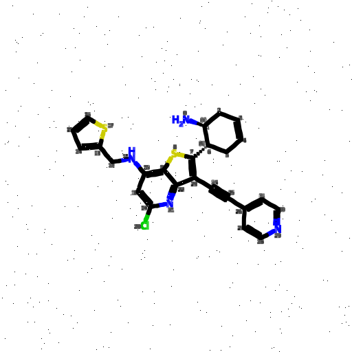 N[C@H]1CC=CC[C@@H]1c1sc2c(NCc3cccs3)cc(Cl)nc2c1C#Cc1ccncc1